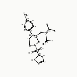 CC(=O)N(C[C@H]1CN(S(=O)(=O)C2CC=CS2)CCN1c1ccc(O)cc1)C(C)C